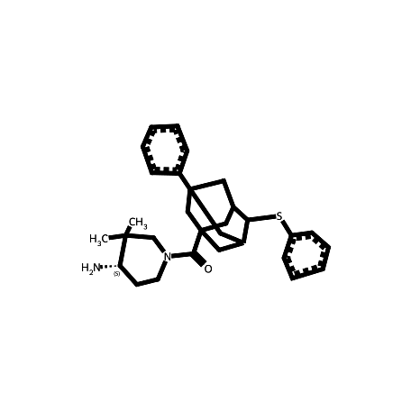 CC1(C)CN(C(=O)C23CC4CC(c5ccccc5)(CC(C2)C4Sc2ccccc2)C3)CC[C@@H]1N